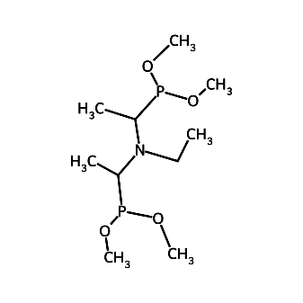 CCN(C(C)P(OC)OC)C(C)P(OC)OC